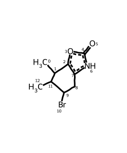 CC1c2oc(=O)[nH]c2CC(Br)C1C